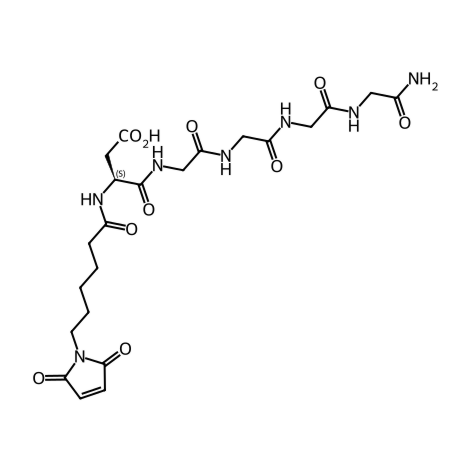 NC(=O)CNC(=O)CNC(=O)CNC(=O)CNC(=O)[C@H](CC(=O)O)NC(=O)CCCCCN1C(=O)C=CC1=O